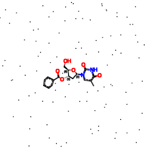 Cc1cn([C@H]2C[C@H](OC(=O)c3ccccc3)[C@@H](CO)O2)c(=O)[nH]c1=O